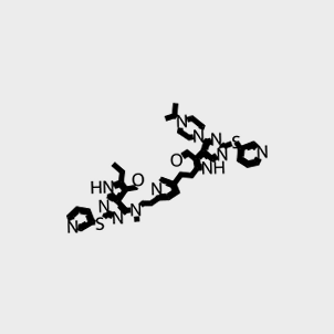 CCc1[nH]c2nc(Sc3cccnc3)nc(N(C)CCc3ccc(CCc4[nH]c5nc(Sc6cccnc6)nc(N6CCN(C(C)C)CC6)c5c4C=O)cn3)c2c1C=O